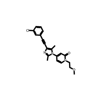 COCCn1ccc(-n2c(C)nc(C#Cc3cccc(Cl)c3)c2C)cc1=O